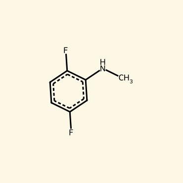 CNc1cc(F)ccc1F